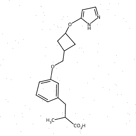 CC(Cc1cccc(OCC2CC(Oc3ccn[nH]3)C2)c1)C(=O)O